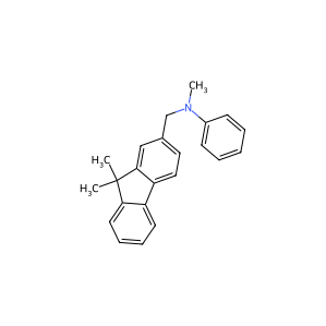 CN(Cc1ccc2c(c1)C(C)(C)c1ccccc1-2)c1ccccc1